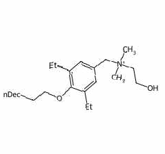 CCCCCCCCCCCCOc1c(CC)cc(C[N+](C)(C)CCO)cc1CC